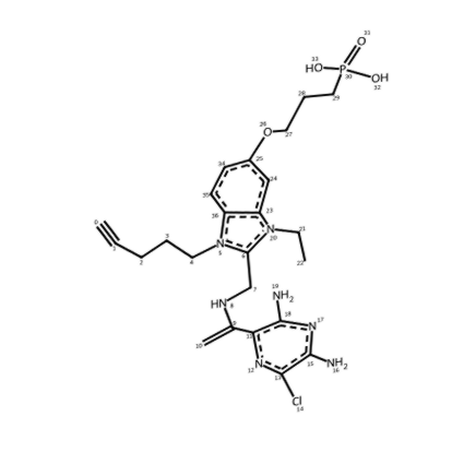 C#CCCC[n+]1c(CNC(=C)c2nc(Cl)c(N)nc2N)n(CC)c2cc(OCCCP(=O)(O)O)ccc21